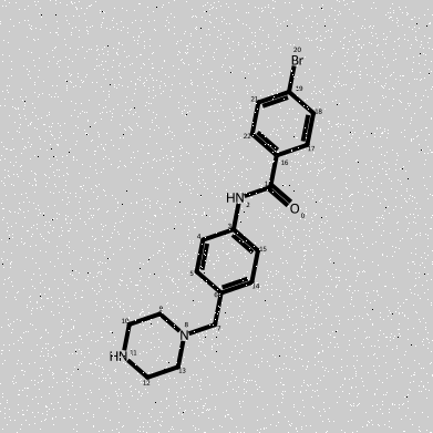 O=C(Nc1ccc(CN2CCNCC2)cc1)c1ccc(Br)cc1